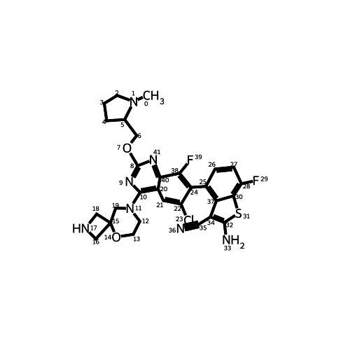 CN1CCCC1COc1nc(N2CCOC3(CNC3)C2)c2cc(Cl)c(-c3ccc(F)c4sc(N)c(C#N)c34)c(F)c2n1